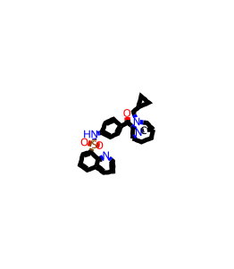 O=C(c1ccc(NS(=O)(=O)c2cccc3cccnc23)cc1)N1CC2CCC1CN(CC1CC1)C2